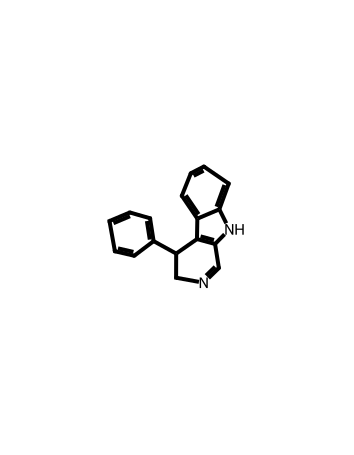 C1=NCC(c2ccccc2)c2c1[nH]c1ccccc21